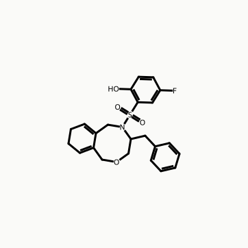 O=S(=O)(c1cc(F)ccc1O)N1CC2=CCCC=C2COCC1Cc1ccccc1